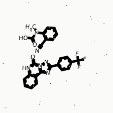 CN(C(=O)O)c1ccccc1C#N.O=c1[nH]c2ccccc2c2nc(-c3ccc(C(F)(F)F)cc3)nn12